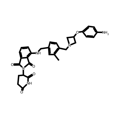 Cc1cc(CNc2cccc3c2C(=O)N(C2CCC(=O)NC2=O)C3=O)ccc1CN1CC(Oc2ccc(N)cc2)C1